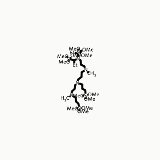 CCC(N(CCCN(C)CCCN(CCCN(C)CCC[Si](OC)(OC)OC)CCC[Si](OC)(OC)OC)C(CC)[Si](OC)(OC)OC)[Si](OC)(OC)OC